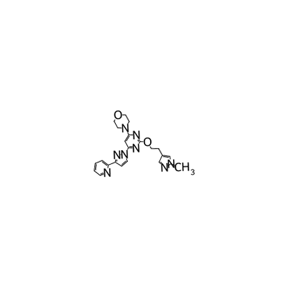 Cn1cc(CCOc2nc(N3CCOCC3)cc(-n3ccc(-c4ccccn4)n3)n2)cn1